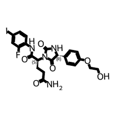 NC(=O)CC[C@@H](C(=O)Nc1ccc(I)cc1F)N1C(=O)N[C@H](c2ccc(OCCO)cc2)C1=O